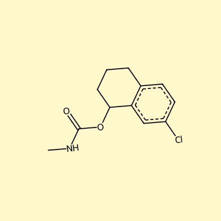 CNC(=O)OC1CCCc2ccc(Cl)cc21